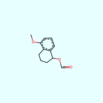 COc1cccc2c1CCCC2OC=O